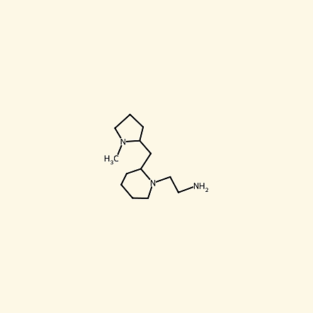 CN1CCCC1CC1CCCCN1CCN